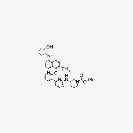 Cc1ccc2c(NC3CCC[C@H]3O)cccc2c1Oc1ncccc1-c1ccnc(N[C@H]2CCCN(C(=O)OC(C)(C)C)C2)n1